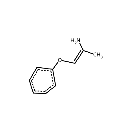 CC(N)=COc1ccccc1